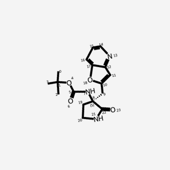 CC(C)(C)OC(=O)N[C@]1(Cc2cc3ncccc3o2)CCNC1=O